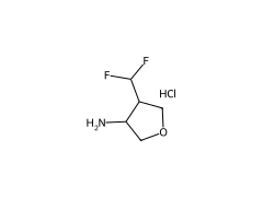 Cl.NC1COCC1C(F)F